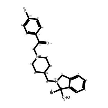 O=CC1(Br)c2ccccc2CN1CC1CCN(CC(=O)c2ccc(F)cc2)CC1